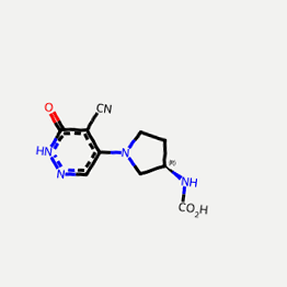 N#Cc1c(N2CC[C@@H](NC(=O)O)C2)cn[nH]c1=O